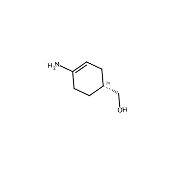 NC1=CC[C@H](CO)CC1